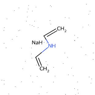 C=CNC=C.[NaH]